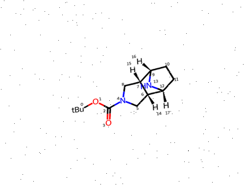 CC(C)(C)OC(=O)N1C[C@@H]2[C@H](C1)[C@@H]1CC[C@H]2N1